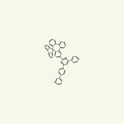 c1cncc(-c2ccc(-c3cc(-c4ccncc4)nc(-c4ccc5c(c4)-c4ccccc4-c4ccccc4C54c5ccccc5-c5ccccc54)n3)cc2)c1